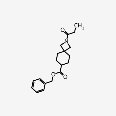 CCC(=O)N1CC2(CCC(C(=O)OCc3ccccc3)CC2)C1